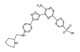 CC(C)S(=O)(=O)c1ccc(-c2cnc(N)c(-c3cc(-c4ccc(NCC5CCCCN5)cc4)no3)n2)cc1